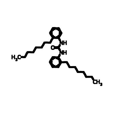 CCCCCCCCc1ccccc1NC(=O)Nc1ccccc1CCCCCCCC